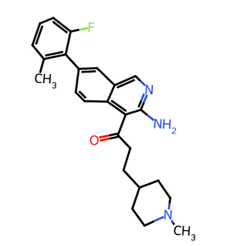 Cc1cccc(F)c1-c1ccc2c(C(=O)CCC3CCN(C)CC3)c(N)ncc2c1